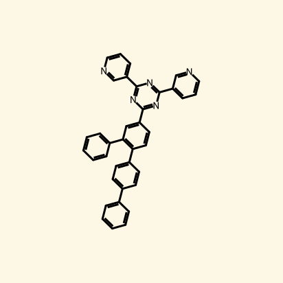 c1ccc(-c2ccc(-c3ccc(-c4nc(-c5cccnc5)nc(-c5cccnc5)n4)cc3-c3ccccc3)cc2)cc1